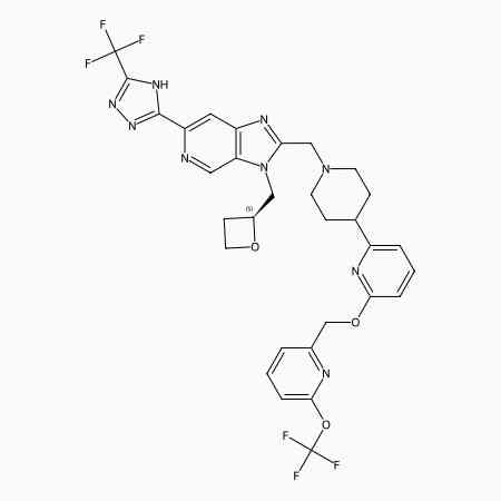 FC(F)(F)Oc1cccc(COc2cccc(C3CCN(Cc4nc5cc(-c6nnc(C(F)(F)F)[nH]6)ncc5n4C[C@@H]4CCO4)CC3)n2)n1